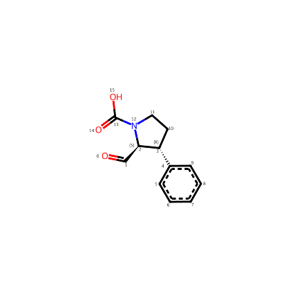 O=C[C@@H]1[C@@H](c2ccccc2)CCN1C(=O)O